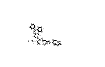 O=C(O)C=CC(=O)O.c1ccc(C(OC2CCN(CCCCCCOc3ccc4nncn4n3)CC2)c2ccccc2)cc1